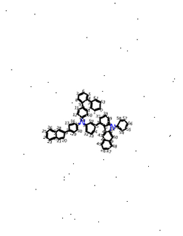 c1ccc(-c2ccccc2-c2ccc(N(c3ccc(-c4ccc5ccccc5c4)cc3)c3cccc(-c4cccc5c4c4cc6ccccc6cc4n5-c4ccccc4)c3)cc2)cc1